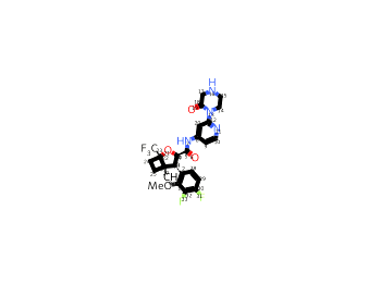 COc1c([C@H]2[C@H](C(=O)Nc3ccnc(N4CCNCC4=O)c3)O[C@]3(C(F)(F)F)CC[C@]23C)ccc(F)c1F